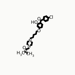 CN(C)C(=O)CN1CCN(CCCCCOc2ccc(C(=O)c3ccc(Cl)cc3)c(O)c2)CC1